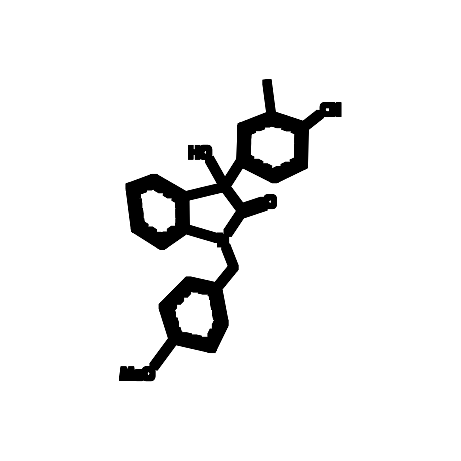 COc1ccc(CN2C(=O)C(O)(c3ccc(C#N)c(C)c3)c3ccccc32)cc1